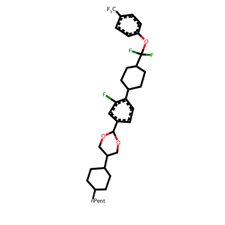 CCCCCC1CCC(C2COC(c3ccc(C4CCC(C(F)(F)Oc5ccc(C(F)(F)F)cc5)CC4)c(F)c3)OC2)CC1